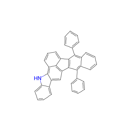 c1ccc(-c2c3c(c(-c4ccccc4)c4ccccc24)-c2cc4c5ccccc5[nH]c4c4cccc-3c24)cc1